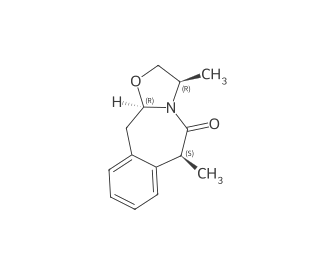 C[C@@H]1C(=O)N2[C@H](C)CO[C@@H]2Cc2ccccc21